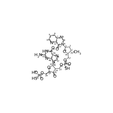 C[C@H]1CC(n2cnc3cccnc3c2=O)OC1COP(=O)(S)OCC1C(=O)[C@@H](COP(=O)(O)S)O[C@H]1n1cnc2c(=O)[nH]c(N)nc21